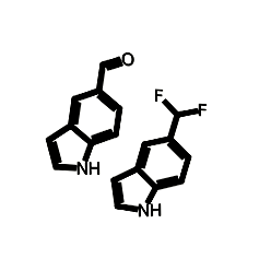 FC(F)c1ccc2[nH]ccc2c1.O=Cc1ccc2[nH]ccc2c1